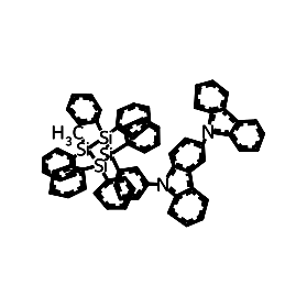 C[Si]1(c2ccccc2)[Si](c2ccccc2)(c2ccccc2)[Si](c2ccccc2)(c2cccc(-n3c4ccccc4c4cc(-n5c6ccccc6c6ccccc65)ccc43)c2)[Si]1(c1ccccc1)c1ccccc1